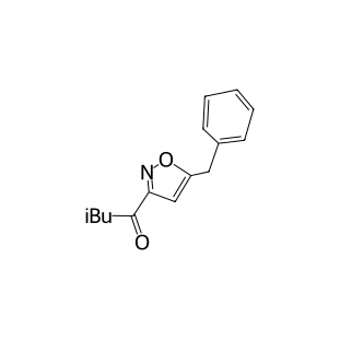 CCC(C)C(=O)c1cc(Cc2ccccc2)on1